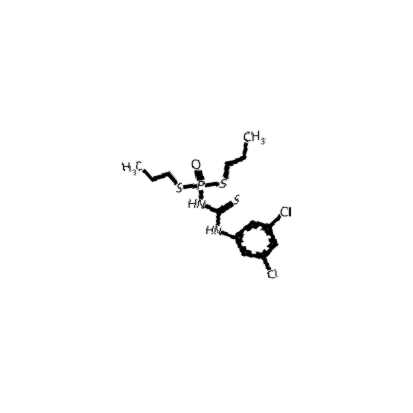 CCCSP(=O)(NC(=S)Nc1cc(Cl)cc(Cl)c1)SCCC